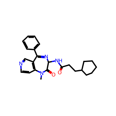 CN1C(=O)C(NC(=O)CCC2CCCCC2)N=C(c2ccccc2)c2cnccc21